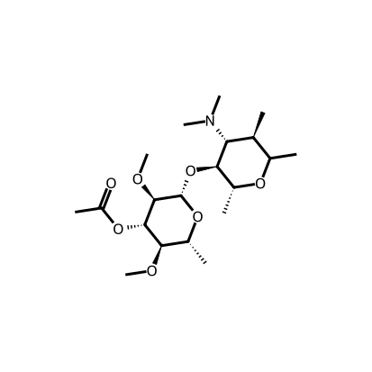 CO[C@H]1[C@H](O[C@H]2[C@H](N(C)C)[C@@H](C)C(C)O[C@@H]2C)O[C@H](C)[C@@H](OC)[C@@H]1OC(C)=O